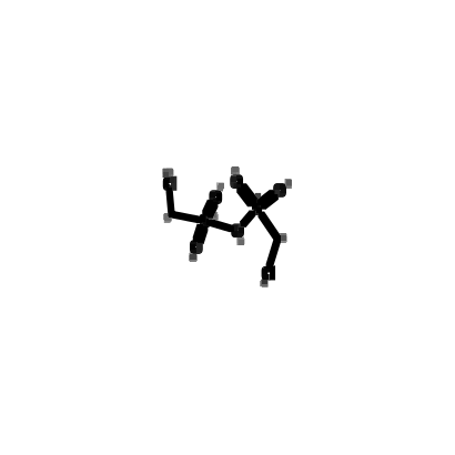 O=S(=O)(CCl)OS(=O)(=O)CCl